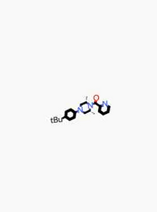 C[C@@H]1CN(c2ccc(C(C)(C)C)cc2)C[C@H](C)N1C(=O)c1ccccn1